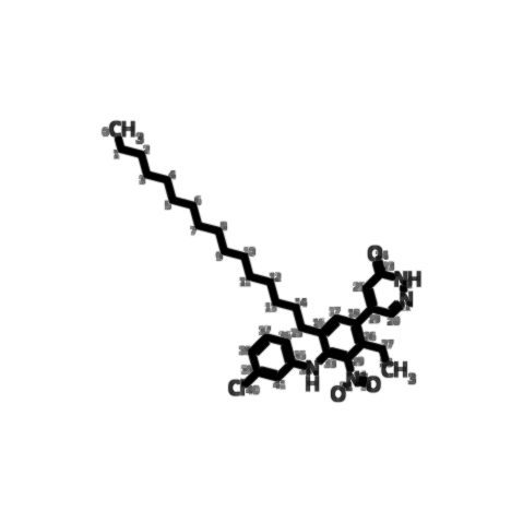 CCCCCCCCCCCCCCCCc1cc(-c2cn[nH]c(=O)c2)c(CC)c([N+](=O)[O-])c1Nc1cccc(Cl)c1